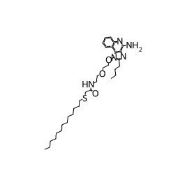 CCCCCCCCCCCCCSCC(=O)NCCOCCOn1c(CCCC)nc2c(N)nc3ccccc3c21